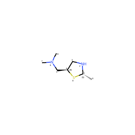 C[C@H]1NC[C@H](CN(C)C)S1